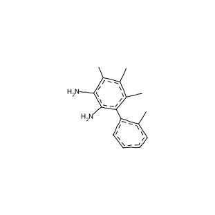 Cc1ccccc1-c1c(C)c(C)c(C)c(N)c1N